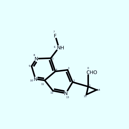 O=CC1(c2cc3c(NF)ncnc3cn2)CC1